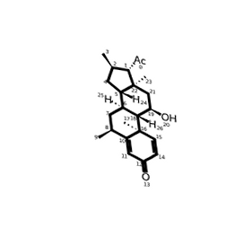 CC(=O)[C@H]1[C@H](C)C[C@H]2[C@@H]3C[C@H](C)C4=CC(=O)C=C[C@]4(C)[C@H]3[C@H](O)C[C@@]21C